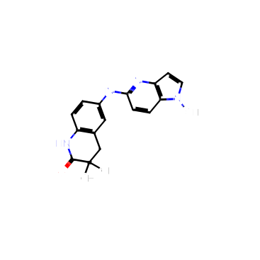 Cn1ccc2nc(Nc3ccc4c(c3)CC(C)(C)C(=O)N4)ccc21